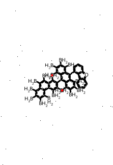 Bc1c(B)c(B)c2c(-c3cccc4oc5ccccc5c34)c3c(B)c(B)c(B)c(B)c3c(-c3c(B)c(B)c4c(c3B)c(B)c(B)c3c(B)c(B)c(B)c(B)c34)c2c1B